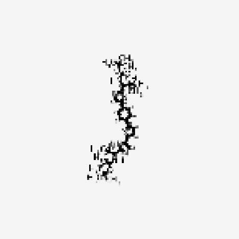 CC(C)(C)OC(=O)NC(c1ncc(-c2ccc(-c3ccc(-c4cnc([C@@H](NC(=O)OC(C)(C)C)C(C)(C)C)[nH]4)s3)cc2)[nH]1)C(C)(C)C